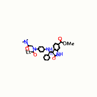 CCC(=O)N(CC(=O)N(C)C)c1ccc(N/C(=C2/C(=O)Nc3cc(C(=O)OC)ccc32)c2ccccc2)cc1